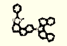 CN1c2c(ccc3ccc4cc(-n5c6ccc7ccccc7c6c6c7ccccc7ccc65)ccc4c23)OC1c1ccccc1